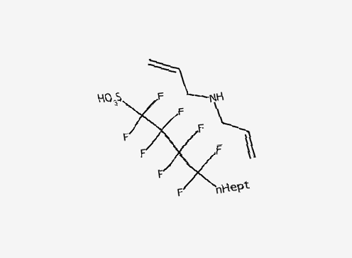 C=CCNCC=C.CCCCCCCC(F)(F)C(F)(F)C(F)(F)C(F)(F)S(=O)(=O)O